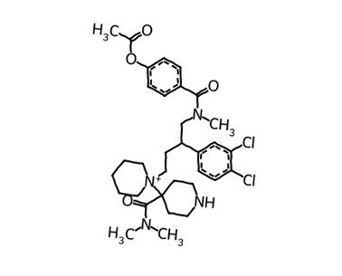 CC(=O)Oc1ccc(C(=O)N(C)CC(CC[N+]2(C3(C(=O)N(C)C)CCNCC3)CCCCC2)c2ccc(Cl)c(Cl)c2)cc1